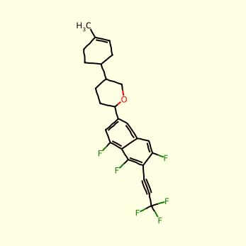 CC1=CCC(C2CCC(c3cc(F)c4c(F)c(C#CC(F)(F)F)c(F)cc4c3)OC2)CC1